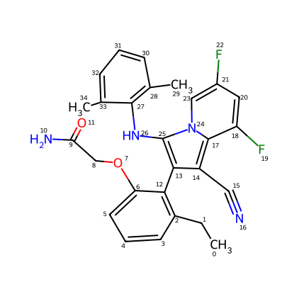 CCc1cccc(OCC(N)=O)c1-c1c(C#N)c2c(F)cc(F)cn2c1Nc1c(C)cccc1C